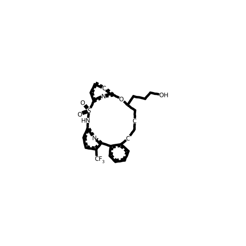 O=S1(=O)Nc2ccc(C(F)(F)F)c(n2)-c2ccccc2CCCCC(CCCO)Oc2cccc1n2